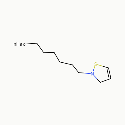 CCCCCCCCCCCCN1CC=CS1